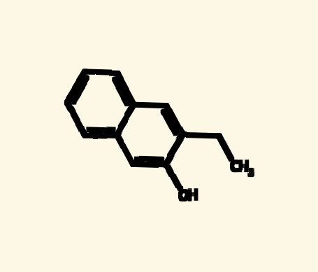 CCc1cc2ccccc2cc1O